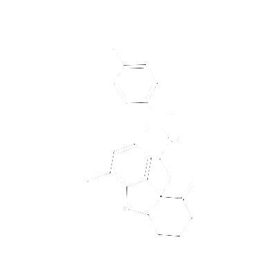 C=C1CCCC2Nc3c(Br)cccc3C12CCNS(=O)(=O)c1ccc(Cl)cc1